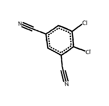 N#Cc1cc(Cl)c(Cl)c(C#N)c1